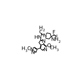 C=C(NC1=Nc2c(OC)ncc(-c3cnn(C)c3)c2C1)N1CCC(N)(C(F)F)CC1